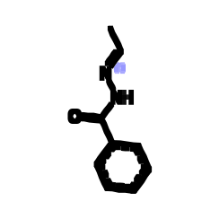 C/C=N/NC(=O)c1ccccc1